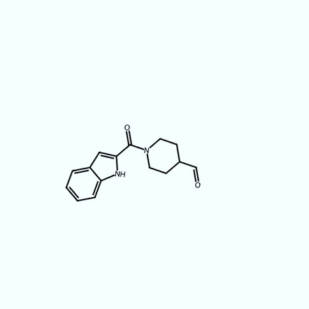 O=CC1CCN(C(=O)c2cc3ccccc3[nH]2)CC1